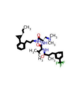 CCC[C@H]1CC1c1ccccc1CCCNC(=O)[C@H](CN(C)C)NC(=O)[C@H](NC(=O)[C@H](C)Cc1cccc(C(F)(F)F)c1)C(C)C